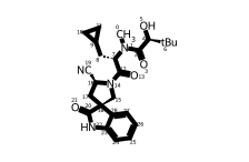 CN(C(=O)[C@@H](O)C(C)(C)C)[C@@H](CC1CC1)C(=O)N1C[C@]2(C[C@H]1C#N)C(=O)Nc1ccccc12